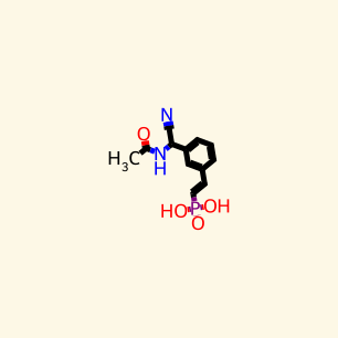 CC(=O)NC(C#N)c1cccc(C=CP(=O)(O)O)c1